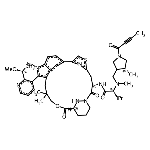 CC#CC(=O)N1CC(CN(C)[C@H](C(=O)N[C@H]2Cc3nc(cs3)-c3ccc4c(c3)c(c(-c3cccnc3[C@H](C)OC)n4CC)CC(C)(C)COC(=O)[C@@H]3CCCN(N3)C2=O)C(C)C)[C@@H](C)C1